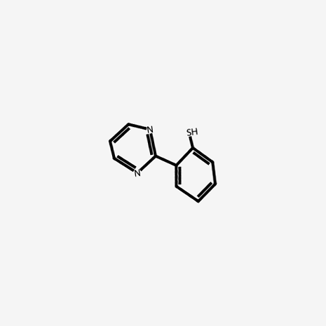 Sc1ccccc1-c1ncccn1